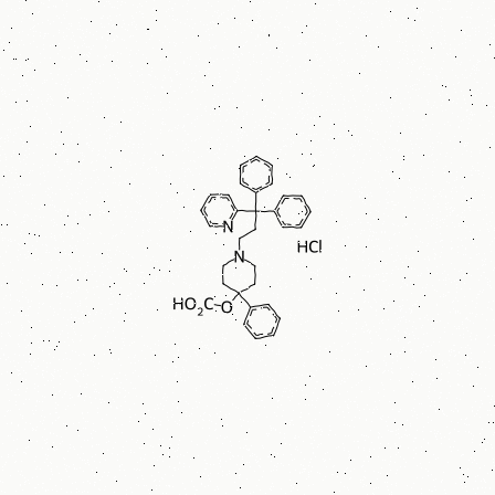 Cl.O=C(O)OC1(c2ccccc2)CCN(CCC(c2ccccc2)(c2ccccc2)c2ccccn2)CC1